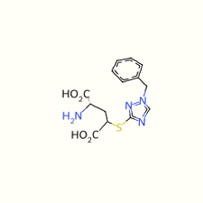 N[C@@H](CC(Sc1ncn(Cc2ccccc2)n1)C(=O)O)C(=O)O